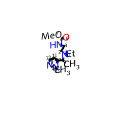 CCN(CCNC(=O)OC)C(C)c1ccnn1C